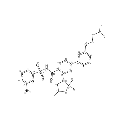 CC(C)CCOc1cccc(-c2ccc(C(=O)NS(=O)(=O)c3cccc(N)n3)c(N3CC(C)CC3(C)C)n2)n1